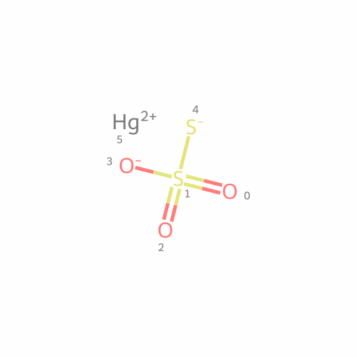 O=S(=O)([O-])[S-].[Hg+2]